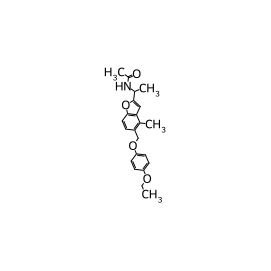 CCOc1ccc(OCc2ccc3oc(C(C)NC(C)=O)cc3c2C)cc1